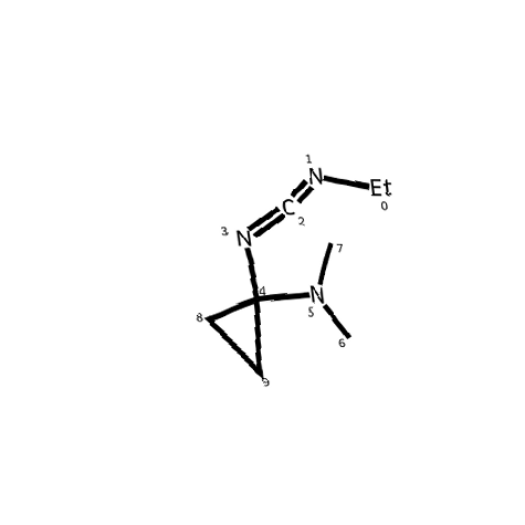 CCN=C=NC1(N(C)C)CC1